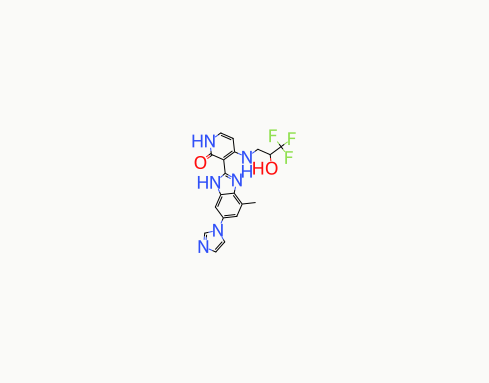 Cc1cc(-n2ccnc2)cc2[nH]c(-c3c(NCC(O)C(F)(F)F)cc[nH]c3=O)nc12